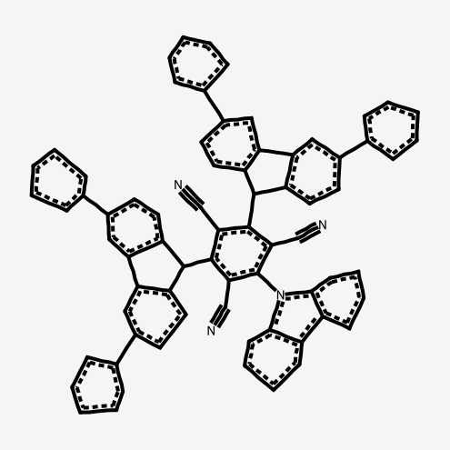 N#Cc1c(C2c3ccc(-c4ccccc4)cc3-c3cc(-c4ccccc4)ccc32)c(C#N)c(-n2c3ccccc3c3ccccc32)c(C#N)c1C1c2ccc(-c3ccccc3)cc2-c2cc(-c3ccccc3)ccc21